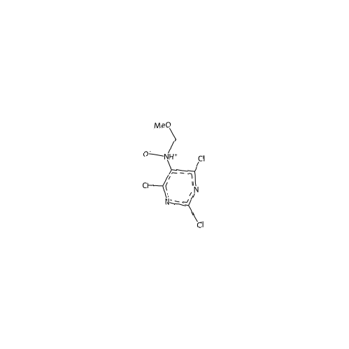 COC[NH+]([O-])c1c(Cl)nc(Cl)nc1Cl